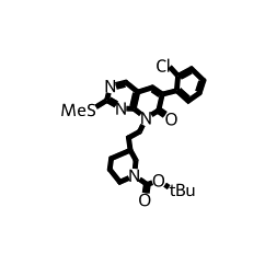 CSc1ncc2cc(-c3ccccc3Cl)c(=O)n(CCC3CCCN(C(=O)OC(C)(C)C)C3)c2n1